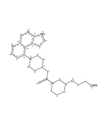 COCCOC1CCCN(C(=O)CC2CCN(c3ccnc4cnc5[nH]ccc5c34)CC2)C1